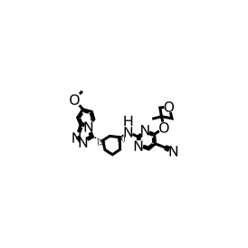 COc1ccn2c([C@H]3CCC[C@@H](Nc4ncc(C#N)c(OC5(C)COC5)n4)C3)nnc2c1